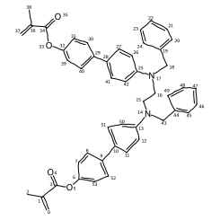 C=C(C)C(=O)Oc1ccc(-c2ccc(N(CCN(Cc3ccccc3)c3ccc(-c4ccc(OC(=O)C(=C)C)cc4)cc3)Cc3ccccc3)cc2)cc1